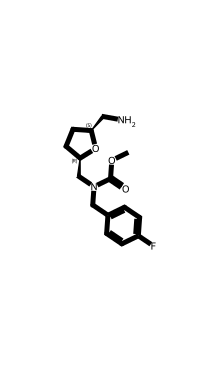 COC(=O)N(Cc1ccc(F)cc1)C[C@H]1CC[C@@H](CN)O1